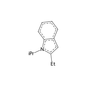 CCc1cc2ccccc2n1C(C)C